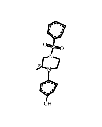 C[C@H]1CN(S(=O)(=O)c2ccccc2)CCN1c1ccc(O)cc1